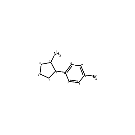 NC1CCCC1c1ccc(Br)cc1